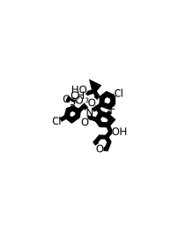 CS(=O)(=O)c1cc(Cl)ccc1CN1C(=O)c2cc(C(O)C3CCOCC3)cc(F)c2[C@]1(OCC1(CO)CC1)c1ccc(Cl)cc1